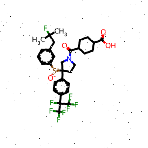 CC(C)(F)Cc1cccc([S+]([O-])C2(c3ccc(C(F)(C(F)(F)F)C(F)(F)F)cc3)CCN(C(=O)C3CCC(C(=O)O)CC3)C2)c1